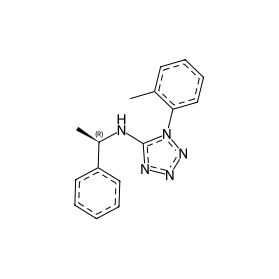 Cc1ccccc1-n1nnnc1N[C@H](C)c1ccccc1